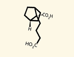 O=C(O)CCC[C@]1(C(=O)O)C2CC[C@H]1CC2